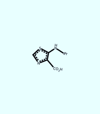 CC(C)Nc1scnc1C(=O)O